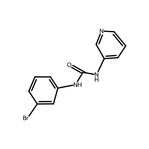 O=C(Nc1cccnc1)Nc1cc[c]c(Br)c1